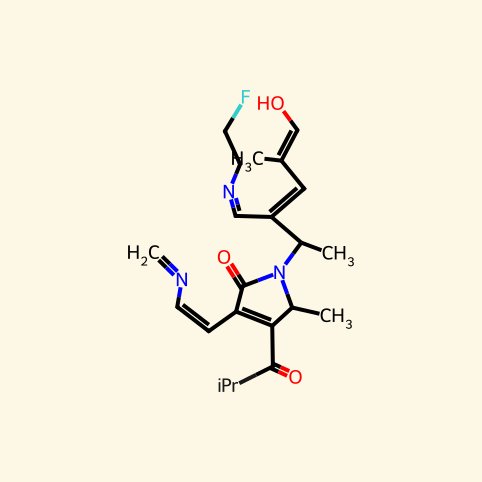 C=N/C=C\C1=C(C(=O)C(C)C)C(C)N(C(C)C(/C=N\CCF)=C/C(C)=C/O)C1=O